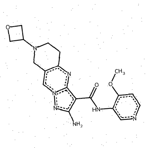 COc1ccncc1NC(=O)c1c(N)nn2cc3c(nc12)CCN(C1COC1)C3